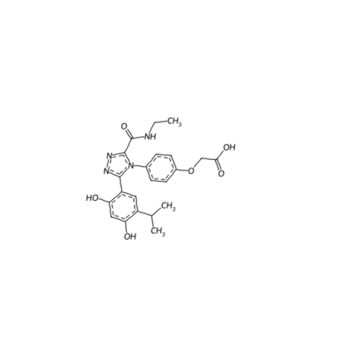 CCNC(=O)c1nnc(-c2cc(C(C)C)c(O)cc2O)n1-c1ccc(OCC(=O)O)cc1